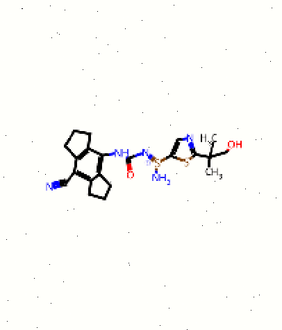 CC(C)(CO)c1ncc(/S(N)=N/C(=O)Nc2c3c(c(C#N)c4c2CCC4)CCC3)s1